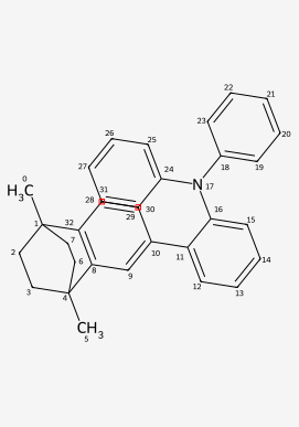 CC12CCC(C)(CC1)c1cc(-c3ccccc3N(c3ccccc3)c3ccccc3)ccc12